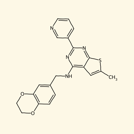 Cc1cc2c(NCc3ccc4c(c3)OCCO4)nc(-c3cccnc3)nc2s1